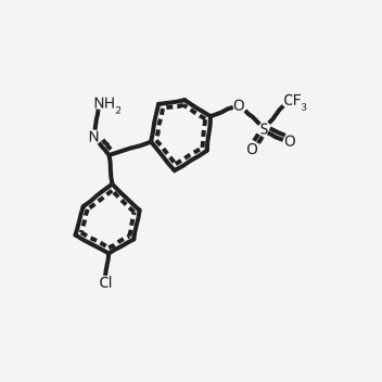 NN=C(c1ccc(Cl)cc1)c1ccc(OS(=O)(=O)C(F)(F)F)cc1